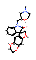 CN1CCOC(CN2C(=O)C3(COc4cc5c(cc43)OCCO5)c3ccccc32)C1